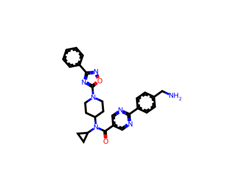 NCc1ccc(-c2ncc(C(=O)N(C3CC3)C3CCN(c4nc(-c5ccccc5)no4)CC3)cn2)cc1